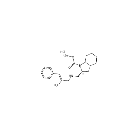 CC(=Cc1ccccc1)CNC[C@@H]1CC2CCCCC2N1C(=O)OC(C)(C)C.Cl